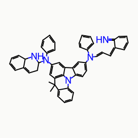 CC1(C)c2ccccc2-n2c3ccc(N(/C=C/C=C4/C=CC=CC4=N)c4ccccc4)cc3c3cc(N(c4ccccc4)C4CC=C5C=CC=CC5N4)cc1c32